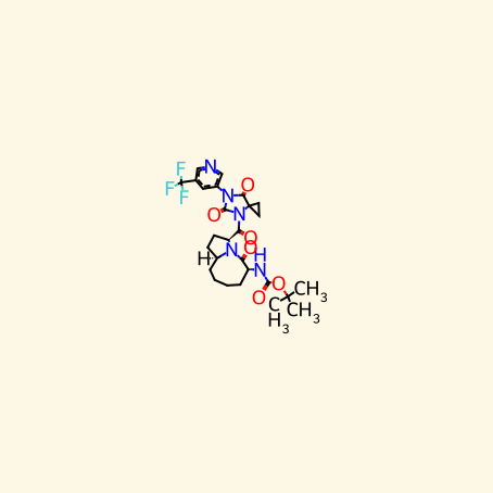 CC(C)(C)OC(=O)N[C@H]1CCCC[C@H]2CC[C@@H](C(=O)N3C(=O)N(c4cncc(C(F)(F)F)c4)C(=O)C34CC4)N2C1=O